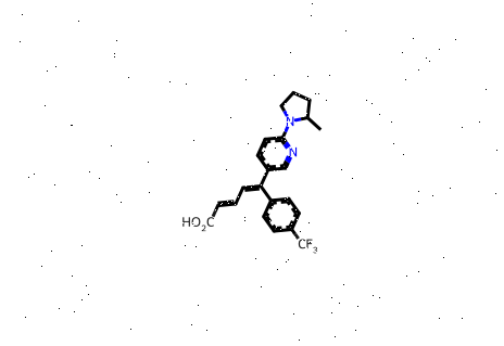 CC1CCCN1c1ccc(C(=CC=CC(=O)O)c2ccc(C(F)(F)F)cc2)cn1